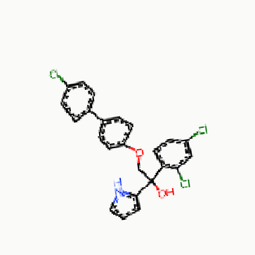 OC(COc1ccc(-c2ccc(Cl)cc2)cc1)(c1ccc[nH]1)c1ccc(Cl)cc1Cl